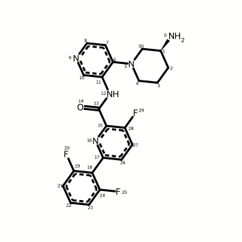 N[C@H]1CCCN(c2ccncc2NC(=O)c2nc(-c3c(F)cccc3F)ccc2F)C1